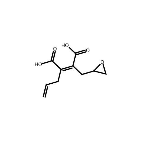 C=CC/C(C(=O)O)=C(\CC1CO1)C(=O)O